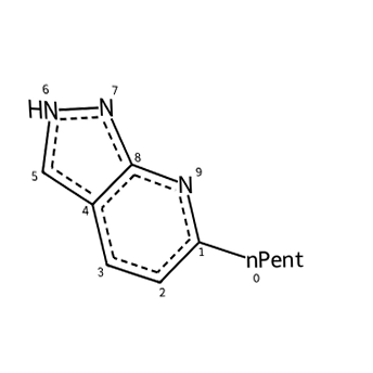 CCCCCc1ccc2c[nH]nc2n1